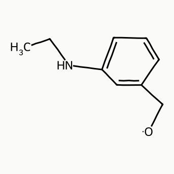 CCNc1cccc(C[O])c1